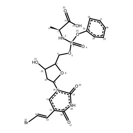 C[C@H](NP(=O)(OCC1OC(n2cc(/C=C/Br)c(=O)[nH]c2=O)CC1O)Oc1ccccc1)C(=O)O